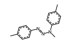 Cc1ccc(N=NN(C)c2ccc(C)cc2)cc1